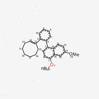 CCCCOc1ccc(-c2ccccc2/C2=C/CCCCCC2)c2ccc(OC)cc12